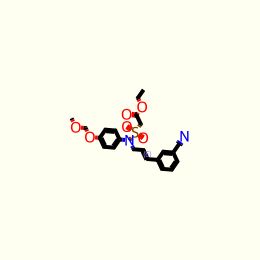 CCOC(=O)CS(=O)(=O)N(C/C=C/c1cccc(C#N)c1)c1ccc(OCOC)cc1